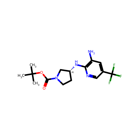 CC(C)(C)OC(=O)N1CC[C@@H](Nc2ncc(C(F)(F)F)cc2N)C1